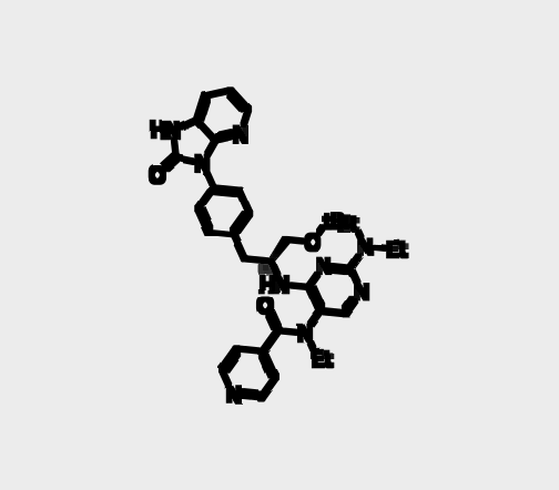 CCN(CC)c1ncc(N(CC)C(=O)c2ccncc2)c(N[C@H](COC(C)(C)C)Cc2ccc(-n3c(=O)[nH]c4cccnc43)cc2)n1